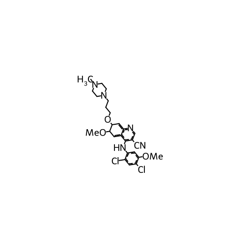 COc1cc(Nc2c(C#N)cnc3c2=CC(OC)C(OCCCN2CCN(C)CC2)C=3)c(Cl)cc1Cl